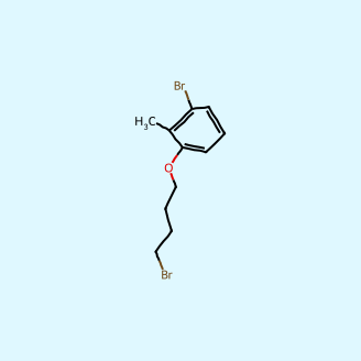 Cc1c(Br)cccc1OCCCCBr